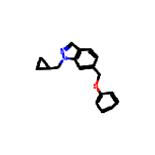 [c]1ccccc1OCc1ccc2cnn(CC3CC3)c2c1